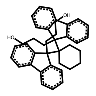 OCCCC1(C2(C3(CCCO)c4ccccc4-c4ccccc43)CCCCC2)c2ccccc2-c2ccccc21